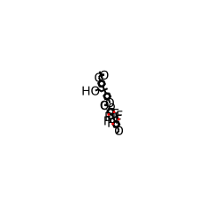 COc1ccc(C(c2cc[c]([Co](=[O])[O]c3ccc(C(C)(CCO)c4ccc(OC(C)=O)cc4)cc3)cc2)(C(F)(F)F)C(F)(F)F)cc1